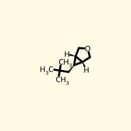 CC(C)(C)C[C@H]1[C@@H]2COC[C@@H]21